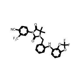 CC1(C)C(=O)N(c2ccc(C#N)c(C(F)(F)F)c2)C(=O)N1Cc1ccccc1Nc1cccc2c1OC(F)(F)O2